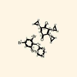 Brc1cc(Br)c(Oc2ncncn2)c(Br)c1.O=C1C=C(N2CC2)C(=O)C(N2CC2)=C1N1CC1